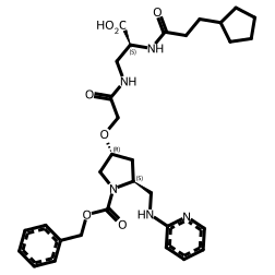 O=C(CO[C@@H]1C[C@@H](CNc2ccccn2)N(C(=O)OCc2ccccc2)C1)NC[C@H](NC(=O)CCC1CCCC1)C(=O)O